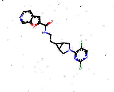 O=C(NCCC1C2CN(c3nc(Cl)ncc3F)CC12)c1cc2ccncc2o1